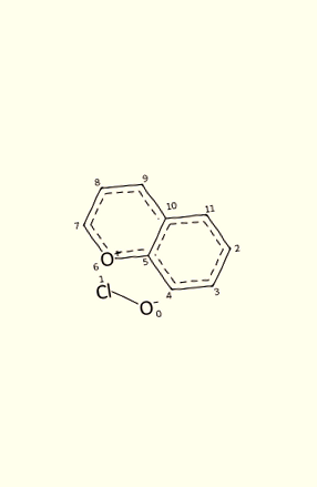 [O-]Cl.c1ccc2[o+]cccc2c1